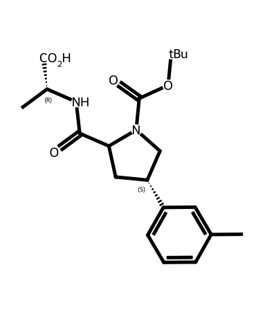 Cc1cccc([C@@H]2CC(C(=O)N[C@H](C)C(=O)O)N(C(=O)OC(C)(C)C)C2)c1